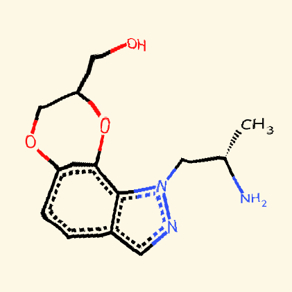 C[C@H](N)Cn1ncc2ccc3c(c21)OC(CO)CO3